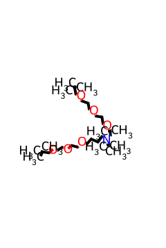 CC(C)(C)COCCCOCCCOC(C)(C)CN(CCCCOCCOCCOCC(C)(C)C)C(C)(C)C